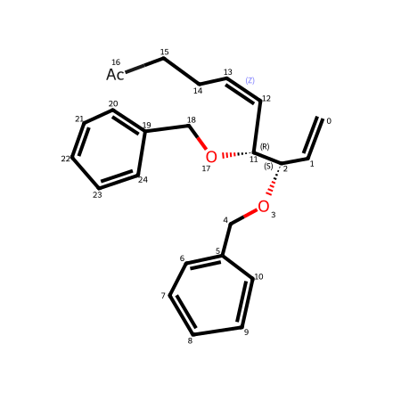 C=C[C@H](OCc1ccccc1)[C@@H](/C=C\CCC(C)=O)OCc1ccccc1